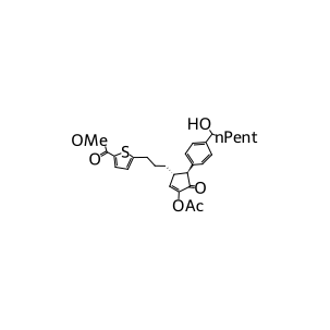 CCCCCC(O)c1ccc([C@H]2C(=O)C(OC(C)=O)=C[C@@H]2CCCc2ccc(C(=O)OC)s2)cc1